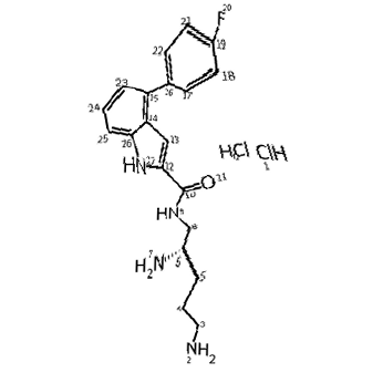 Cl.Cl.NCCC[C@H](N)CNC(=O)c1cc2c(-c3ccc(F)cc3)cccc2[nH]1